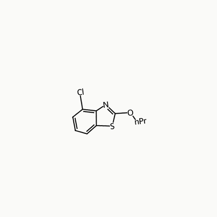 CCCOc1nc2c(Cl)cccc2s1